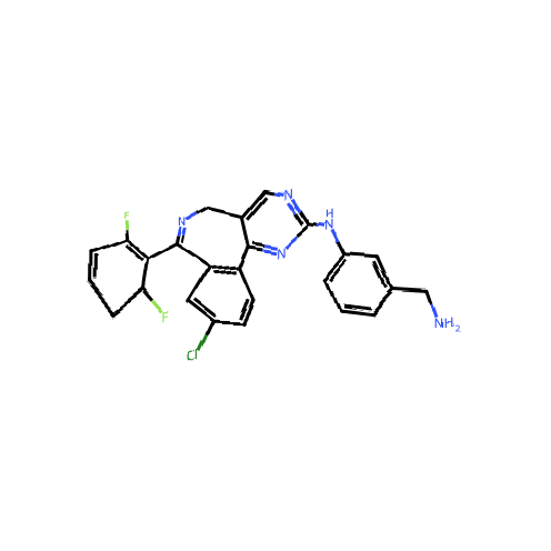 NCc1cccc(Nc2ncc3c(n2)-c2ccc(Cl)cc2C(C2=C(F)C=CCC2F)=NC3)c1